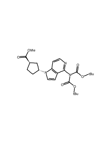 COC(=O)[C@@H]1CC[C@@H](n2ccc3c(N(C(=O)OC(C)(C)C)C(=O)OC(C)(C)C)nccc32)C1